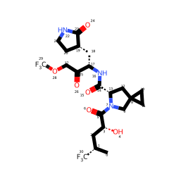 C[C@@H](C[C@@H](O)C(=O)N1CC2(CC2)C[C@H]1C(=O)N[C@@H](C[C@@H]1CCNC1=O)C(=O)COC(F)(F)F)C(F)(F)F